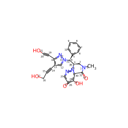 CN1C[C@H]([C@H](c2ccccc2)n2cc(C#CCO)c(C#CO)n2)n2ncc(=O)c(O)c2C1=O